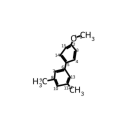 COc1ccc(-c2cc(C)cc(C)c2)cc1